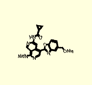 CNc1ncc(-c2nc3cc(COC)ccc3o2)c2cc(NC(=O)C3CC3)ncc12